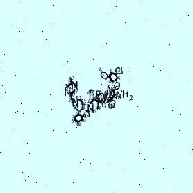 COc1cc(Cl)cc(Oc2ncn(C[C@@]3(O)CCN(C(=O)[C@@H]4CCN(Cc5cnc(C)cn5)C[C@H]4c4ccccc4)CC3(F)F)c(=O)c2N)c1